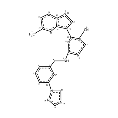 N#Cc1cnc(NCc2cccc(-n3cncn3)c2)nc1-c1c[nH]c2ccc(C(F)(F)F)cc12